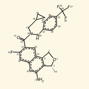 C[C@H]1OCc2c1c(N)nc1cc(F)c(C(=O)N(CC3CC3)Nc3ccc(C(F)(F)F)cc3)cc21